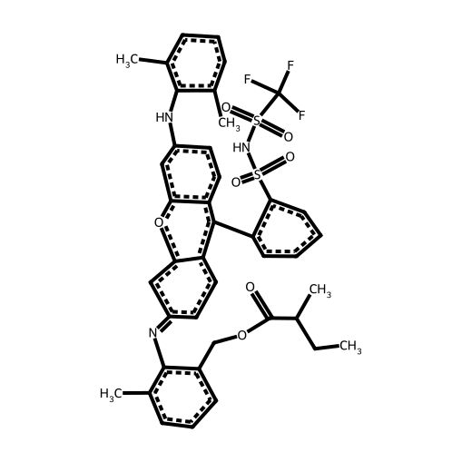 CCC(C)C(=O)OCc1cccc(C)c1/N=c1\ccc2c(-c3ccccc3S(=O)(=O)NS(=O)(=O)C(F)(F)F)c3ccc(Nc4c(C)cccc4C)cc3oc-2c1